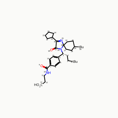 CC(C)(C)CC[C@H](c1ccc(C(=O)NCCC(=O)O)cc1)N1C(=O)C(C2CCCC2)=NC12CCC(C(C)(C)C)CC2